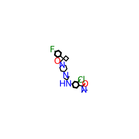 CN(C)C(=O)c1ccc(NC2CN(C3CCN(C(=O)C4(c5ccc(F)cc5)CCC4)CC3)C2)cc1Cl